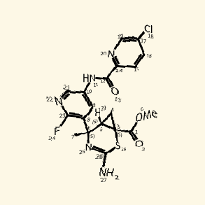 COC(=O)[C@]12C[C@H]1[C@@](C)(c1cc(NC(=O)c3ccc(Cl)cn3)cnc1F)N=C(N)S2